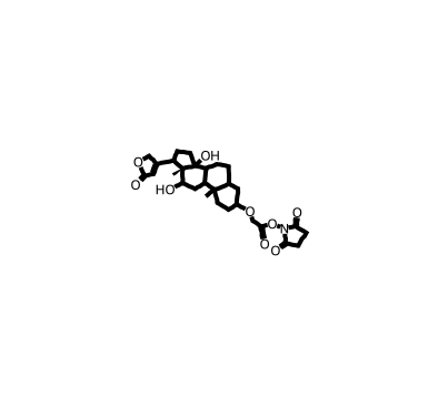 CC12CCC(OCC(=O)ON3C(=O)CCC3=O)CC1CCC1C2CC(O)[C@]2(C)C(C3=CC(=O)OC3)CCC12O